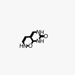 O=C1NC=C2C=CNOC2N1